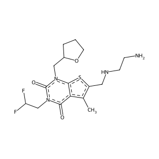 Cc1c(CNCCN)sc2c1c(=O)n(CC(F)F)c(=O)n2CC1CCCO1